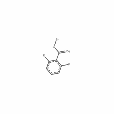 CCOC(=N)c1c(F)cccc1F